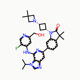 CC(C)n1cnc2cc(-c3ccc4c(c3)N([C@H]3C[C@@H](N5CC(C)(C)C5)C3)C(=O)C4(C)C)nc(Nc3cc(CO)ncc3F)c21